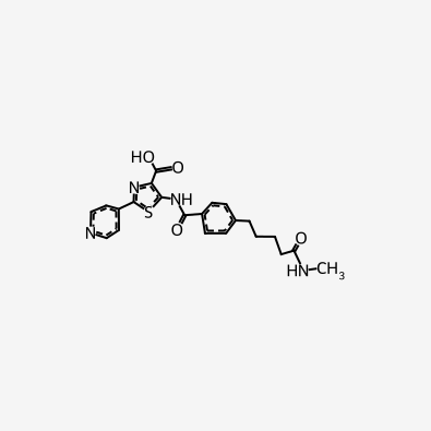 CNC(=O)CCCCc1ccc(C(=O)Nc2sc(-c3ccncc3)nc2C(=O)O)cc1